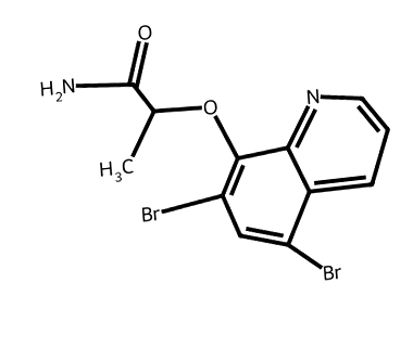 CC(Oc1c(Br)cc(Br)c2cccnc12)C(N)=O